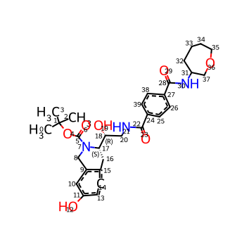 CC(C)(C)OC(=O)N1Cc2cc(O)ccc2C[C@H]1[C@H](O)CNC(=O)c1ccc(C(=O)NC2CCCCOC2)cc1